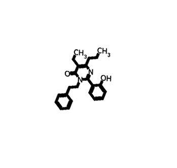 CCCc1nc(-c2ccccc2O)n(CCc2ccccc2)c(=O)c1CC